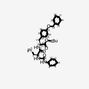 CC(C)C[C@H](NC(=O)Nc1ccccc1)C(=O)N[C@@H](Cc1ccc(OCc2ccccc2)cc1)C(=O)OC(C)(C)C